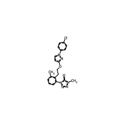 Cc1cccc(-n2nnn(C)c2=O)c1CCOc1ccn(-c2ccc(Cl)cc2)n1